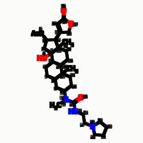 CC(=O)OC1CC2(O)C3CCC4CC(N(C)C(=O)NCCN5CCCC5)CCC4(C)C3CCC2(C)C1C1=CC(=O)OC1